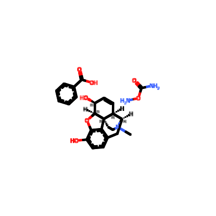 CN1CC[C@]23c4c5ccc(O)c4O[C@H]2[C@@H](O)C=C[C@H]3[C@H]1C5.NOC(N)=O.O=C(O)c1ccccc1